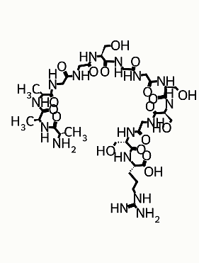 C[C@H](N)C(=O)N[C@@H](C)C(=O)N[C@@H](C)C(=O)NCC(=O)NCC(=O)N[C@@H](CO)C(=O)NCC(=O)NCC(=O)N[C@@H](CO)C(=O)N[C@@H](CO)C(=O)NCC(=O)N[C@@H](CO)C(=O)N[C@@H](CCCNC(=N)N)C(=O)O